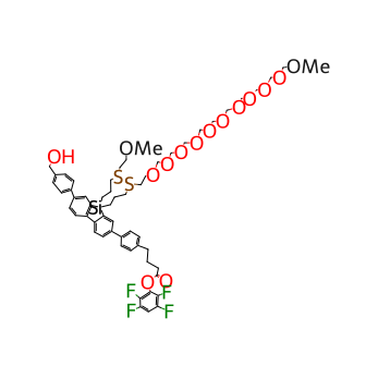 COCCSCCC[Si]1(CCCSCCOCOCOCOCOCOCOCOCOCOCOC)c2cc(-c3ccc(CO)cc3)ccc2-c2ccc(-c3ccc(CCCC(=O)Oc4c(F)c(F)cc(F)c4F)cc3)cc21